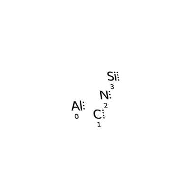 [Al].[C].[N].[Si]